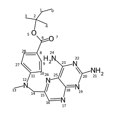 CCC(C)(C)OC(=O)c1ccc(N(C)Cc2cnc3nc(N)nc(N)c3n2)cc1